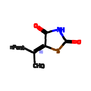 CCCCC/C(C=O)=C1/SC(=O)NC1=O